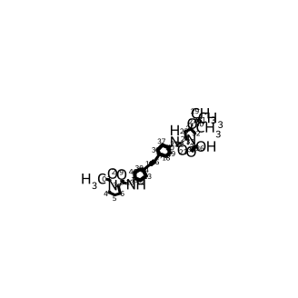 CC(=O)N1CCC[C@H]1C(=O)Nc1ccc(C#Cc2ccc(NC(=O)[C@@H]3C[C@@H](OC(C)(C)C)CN3C(=O)O)cc2)cc1